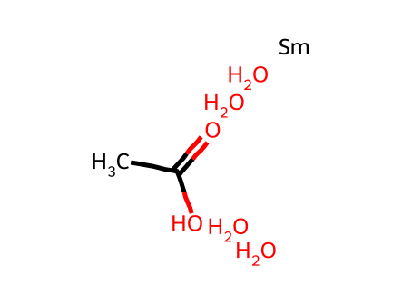 CC(=O)O.O.O.O.O.[Sm]